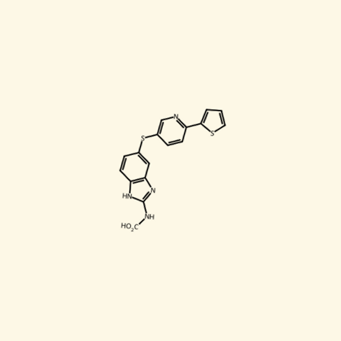 O=C(O)Nc1nc2cc(Sc3ccc(-c4cccs4)nc3)ccc2[nH]1